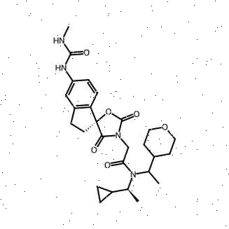 CNC(=O)Nc1ccc2c(c1)CC[C@@]21OC(=O)N(CC(=O)N(C(C)C2CCOCC2)[C@@H](C)C2CC2)C1=O